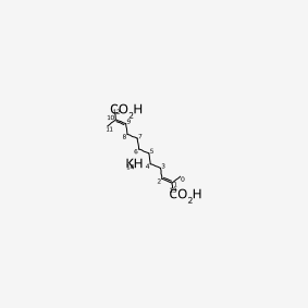 CC(=CCCCCCCC=C(C)C(=O)O)C(=O)O.[KH]